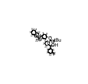 CC(C)(C)OC(=O)N1[C@@H](c2cccc(N(Cc3ccccc3)S(C)(=O)=O)c2)CC[C@@H]1[C@@H](O)c1cccc(F)c1